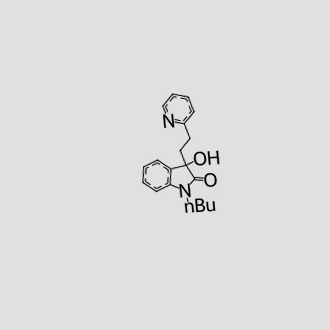 CCCCN1C(=O)C(O)(CCc2ccccn2)c2ccccc21